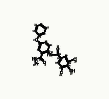 CC(C)NC(=O)c1cc(Oc2ccccc2)ccc1NC(=O)c1cc(Cl)c(O)c(Cl)c1